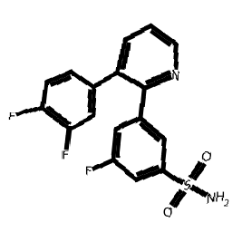 NS(=O)(=O)c1cc(F)cc(-c2ncccc2-c2ccc(F)c(F)c2)c1